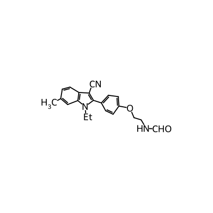 CCn1c(-c2ccc(OCCNC=O)cc2)c(C#N)c2ccc(C)cc21